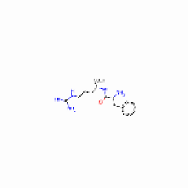 N=C(N)NCCCC(NC(=O)C(N)Cc1ccccc1)C(=O)O